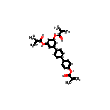 C=C(C)C(=O)Oc1ccc(-c2ccc(-c3cc(OC(=O)C(=C)C)cc(OC(=O)C(=C)C)c3)cc2)cc1